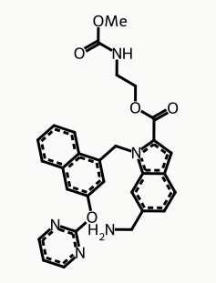 COC(=O)NCCOC(=O)c1cc2ccc(CN)cc2n1Cc1cc(Oc2ncccn2)cc2ccccc12